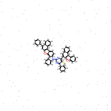 c1ccc(-c2cc3oc4c(ccc5c4c4ccccc4n5-c4nc(-c5cc6ccccc6c6c5oc5ccccc56)c5sc6ccccc6c5n4)c3c3ccccc23)cc1